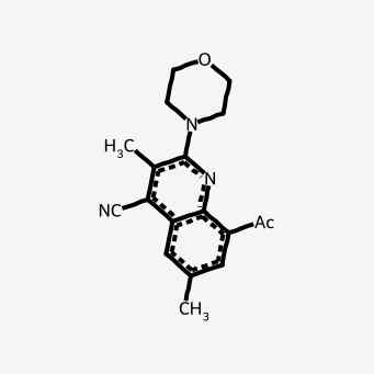 CC(=O)c1cc(C)cc2c(C#N)c(C)c(N3CCOCC3)nc12